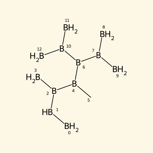 BBB(B)B(C)B(B(B)B)B(B)B